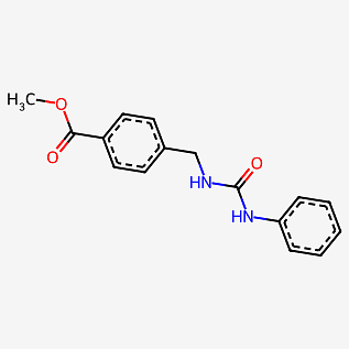 COC(=O)c1ccc(CNC(=O)Nc2ccccc2)cc1